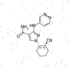 N#C[C@H]1CCCC[C@@H]1n1cc(C(N)=O)c(Nc2ccnnc2)n1